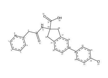 O=C(Cc1ccccn1)NC1(C(=O)O)Cc2ccc(-c3ccc(Cl)cc3)cc2C1